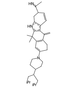 C=C1C2=C(C=C(N3CCC(C(CC(C)C)CC(C)C)CC3)CC2)C(C)(C)c2[nH]c3c(c21)C=CC(C(C)=N)C3